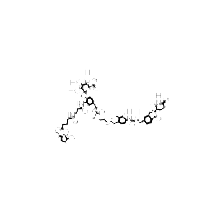 CN(CCOCCc1ccc(NC(=O)NCc2ccc3c(c2)CN(C2CCC(=O)NC2=O)C3=O)cc1Cl)C(=O)OCc1ccc(O[C@@H]2O[C@H](C(=O)O)[C@@H](O)[C@H](O)[C@H]2O)c(NC(=O)CCNC(=O)CCCC(=O)ON2C(=O)CCC2=O)c1